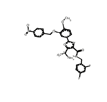 COc1ccc(-c2nc(C(=O)NCc3ccc(F)cc3F)c([C@H](C)N)o2)cc1OCc1ccc([N+](=O)[O-])cc1